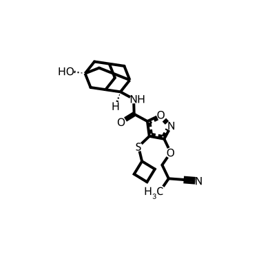 CC(C#N)COc1noc(C(=O)N[C@H]2C3CC4CC2C[C@](O)(C4)C3)c1SC1CCC1